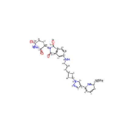 CNc1cccc(-c2cnn(C3CC(CCCNc4ccc5c(c4)C(=O)N(C4CCC(=O)NC4=O)C5=O)C3)c2)n1